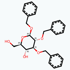 OC[C@H]1O[C@@H](OCc2ccccc2)[C@H](OCc2ccccc2)[C@@H](OCc2ccccc2)[C@@H]1O